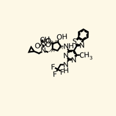 Cc1nc(NCC(F)(F)F)nc(N[C@@H]2C[C@H](CN(CC3CC3)S(C)(=O)=O)[C@@H](O)[C@H]2O)c1-c1nc2ccccc2s1